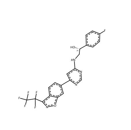 O[C@@H](CNc1cc(-c2ccc3c(C(F)(F)C(F)(F)F)noc3c2)ncn1)c1ccc(F)cc1